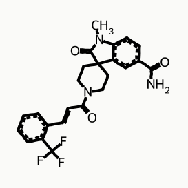 CN1C(=O)C2(CCN(C(=O)/C=C/c3ccccc3C(F)(F)F)CC2)c2cc(C(N)=O)ccc21